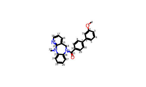 COc1cccc(-c2ccc(C(=O)N3Cc4cccnc4N(C)c4ccccc43)cc2)c1